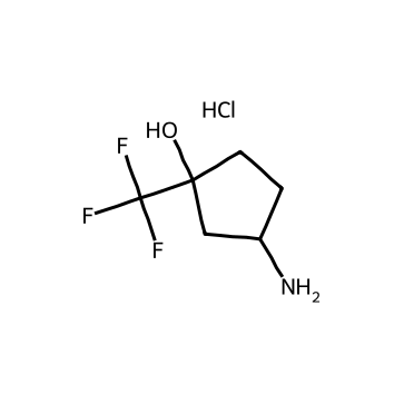 Cl.NC1CCC(O)(C(F)(F)F)C1